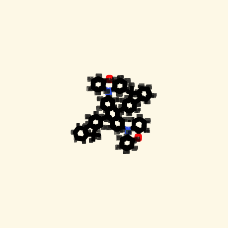 CC1(C)C2=C(CCC=C2)c2ccc(-c3c4ccc(N5C6=C(C=CCC6)Oc6ccccc65)cc4c(-c4ccc5c(c4)C(C)(C)c4ccccc4-5)c4cc(N5c6ccccc6Oc6ccccc65)ccc34)cc21